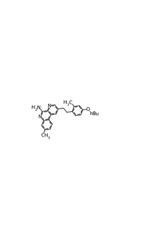 CCCCOc1ccc(CCc2cnc3c(N)nc4cc(C)ccc4c3c2)c(C)c1